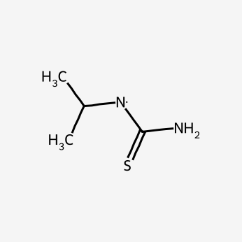 CC(C)[N]C(N)=S